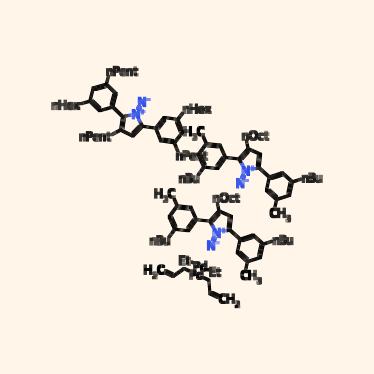 C=C[CH2][Pd][CH2]C=C.CCCCCCCCC1=C(c2cc(C)cc(CCCC)c2)[N+](=[N-])C(c2cc(C)cc(CCCC)c2)=C1.CCCCCCCCC1=C(c2cc(C)cc(CCCC)c2)[N+](=[N-])C(c2cc(C)cc(CCCC)c2)=C1.CCCCCCc1cc(CCCCC)cc(C2=CC(CCCCC)=C(c3cc(CCCCC)cc(CCCCCC)c3)[N+]2=[N-])c1.C[CH2][Pd][CH2]C